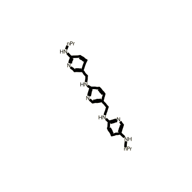 CCCNc1ccc(NCc2ccc(NCc3ccc(NCCC)nc3)nc2)nc1